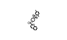 Cc1ccc(C)c(S(=O)(=O)N2CCN(C(=O)c3ccc4ccccc4n3)CC2)c1